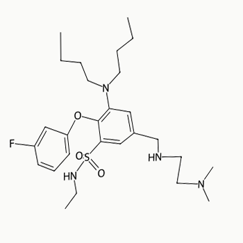 CCCCN(CCCC)c1cc(CNCCN(C)C)cc(S(=O)(=O)NCC)c1Oc1cccc(F)c1